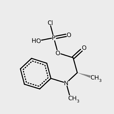 C[C@@H](C(=O)OP(=O)(O)Cl)N(C)c1ccccc1